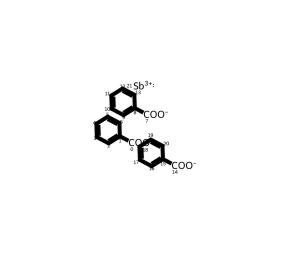 O=C([O-])c1ccccc1.O=C([O-])c1ccccc1.O=C([O-])c1ccccc1.[Sb+3]